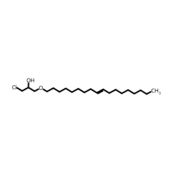 CCCCCCCCC=CCCCCCCCCOCC(O)CCl